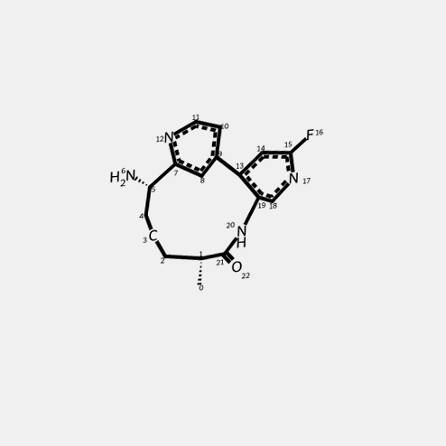 C[C@@H]1CCC[C@H](N)c2cc(ccn2)-c2cc(F)ncc2NC1=O